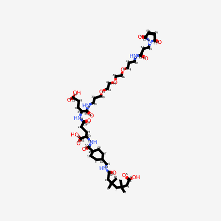 CC(C)(CC(=O)O)CC(C)(C)CC(=O)NCC1CCC(C(=O)NC(CCC(=O)NC(CCC(=O)O)C(=O)NCCCOCCOCCOCCCNC(=O)CCN2C(=O)C=CC2=O)C(=O)O)CC1